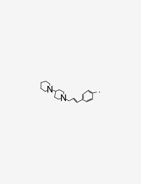 [CH2]c1ccc(/C=C/CN2CCC(N3CCCCC3)CC2)cc1